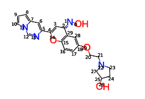 O/N=c1/cc(-c2cc3cccn3cn2)oc2ccc(OCCN3CCC(O)C3)cc12